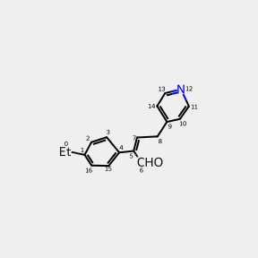 CCc1ccc(C(C=O)=CCc2ccncc2)cc1